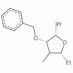 CC[C@H]1O[C@@H](C(C)C)[C@@H](OCc2ccccc2)C1C